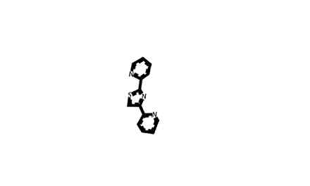 c1ccc(-c2csc(-c3ccccn3)n2)nc1